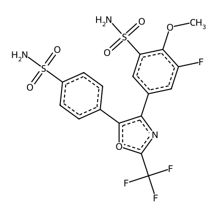 COc1c(F)cc(-c2nc(C(F)(F)F)oc2-c2ccc(S(N)(=O)=O)cc2)cc1S(N)(=O)=O